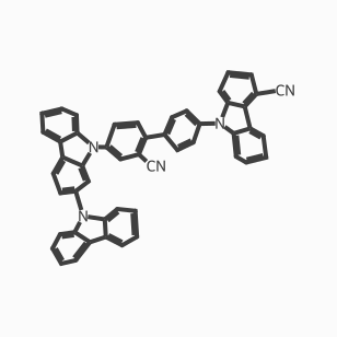 N#Cc1cc(-n2c3ccccc3c3ccc(-n4c5ccccc5c5ccccc54)cc32)ccc1-c1ccc(-n2c3ccccc3c3c(C#N)cccc32)cc1